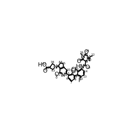 COc1nc(-c2cccc(-c3c(F)ccc(NC(=O)c4nn(C)c(=O)n(C)c4=O)c3Cl)c2Cl)cc2c1C(N1CC(C(=O)O)C1)CC2